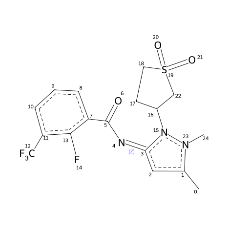 Cc1c/c(=N/C(=O)c2cccc(C(F)(F)F)c2F)n(C2CCS(=O)(=O)C2)n1C